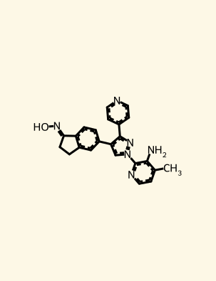 Cc1ccnc(-n2cc(-c3ccc4c(c3)CCC4=NO)c(-c3ccncc3)n2)c1N